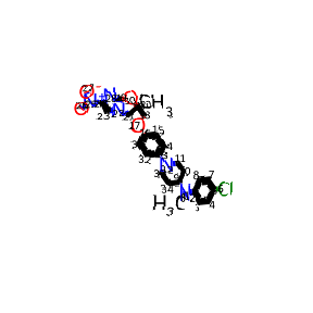 CN(c1ccc(Cl)cc1)C1CCN(c2ccc(OCC3(C)Cn4cc([N+](=O)[O-])nc4O3)cc2)CC1